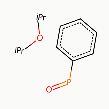 CC(C)OC(C)C.O=Pc1ccccc1